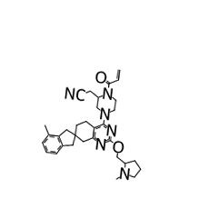 C=CC(=O)N1CCN(c2nc(OCC3CCCN3C)nc3c2CCC2(Cc4cccc(C)c4C2)C3)CC1CC#N